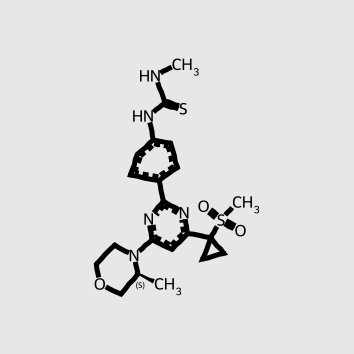 CNC(=S)Nc1ccc(-c2nc(N3CCOC[C@@H]3C)cc(C3(S(C)(=O)=O)CC3)n2)cc1